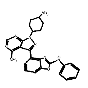 Nc1ncnc2c1c(-c1cccc3oc(Nc4ccccc4)nc13)nn2C1CCC(N)CC1